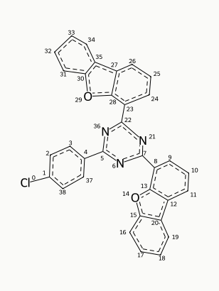 Clc1ccc(-c2nc(-c3cccc4c3oc3ccccc34)nc(-c3cccc4c3oc3ccccc34)n2)cc1